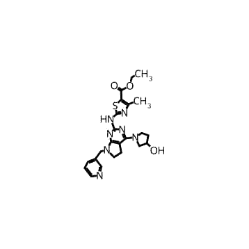 CCOC(=O)c1sc(Nc2nc3c(c(N4CCC(O)C4)n2)CCN3Cc2cccnc2)nc1C